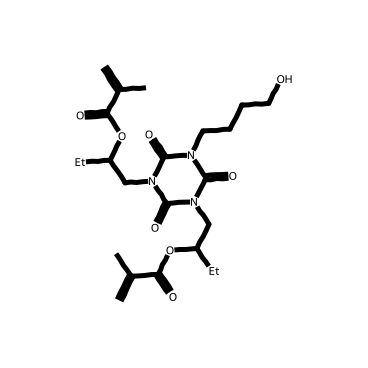 C=C(C)C(=O)OC(CC)Cn1c(=O)n(CCCCO)c(=O)n(CC(CC)OC(=O)C(=C)C)c1=O